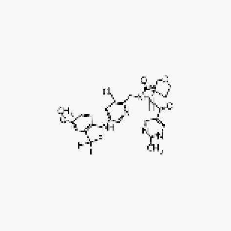 COc1ccc(Nc2cnc(CNC(=O)[C@]3(NC(=O)c4cnc(C)nc4)CCOC3)c(Cl)c2)c(C(F)(F)F)c1